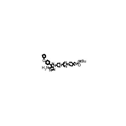 CC(C)(C)OC(=O)N1CC2(CCN(c3ncc(N4CCC(n5nc(-c6ccc(Oc7ccccc7)cc6)c6c(N)ncnc65)CC4)cn3)CC2)C1